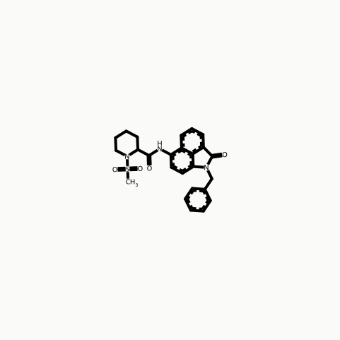 CS(=O)(=O)N1CCCCC1C(=O)Nc1ccc2c3c(cccc13)C(=O)N2Cc1ccccc1